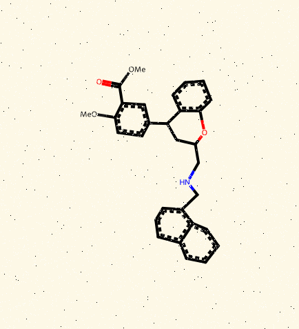 COC(=O)c1cc(C2CC(CNCc3cccc4ccccc34)Oc3ccccc32)ccc1OC